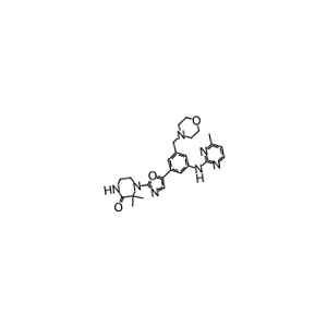 Cc1ccnc(Nc2cc(CN3CCOCC3)cc(-c3cnc(N4CCNC(=O)C4(C)C)o3)c2)n1